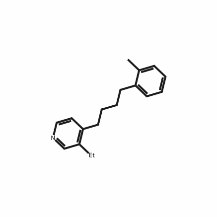 CCc1cnccc1CCCCc1ccccc1C